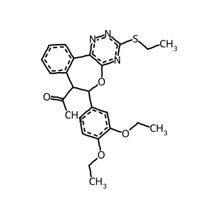 CCOc1ccc(C2Oc3nc(SCC)nnc3-c3ccccc3C2C(C)=O)cc1OCC